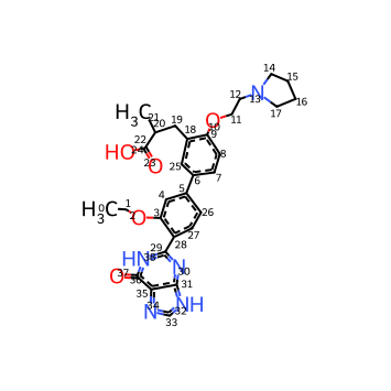 CCOc1cc(-c2ccc(OCCN3CCCC3)c(CC(C)C(=O)O)c2)ccc1-c1nc2[nH]cnc2c(=O)[nH]1